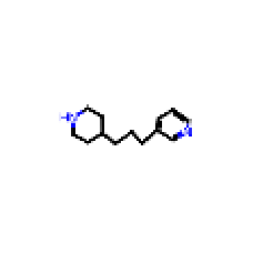 c1cncc(CCCC2CCNCC2)c1